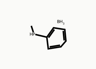 B.CPc1ccccc1